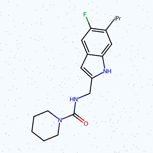 CC(C)c1cc2[nH]c(CNC(=O)N3CCCCC3)cc2cc1F